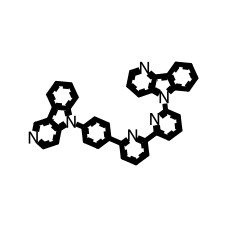 c1cc(-c2ccc(-n3c4ccccc4c4cnccc43)cc2)nc(-c2cccc(-n3c4ccccc4c4ncccc43)n2)c1